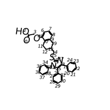 O=C(O)COc1cccc2c1CCC(CSc1nc(-c3ccccc3)c(-c3ccccc3)n1-c1ccccc1)C2